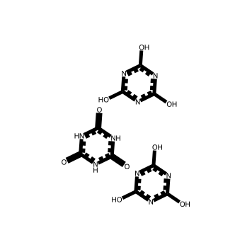 O=c1[nH]c(=O)[nH]c(=O)[nH]1.Oc1nc(O)nc(O)n1.Oc1nc(O)nc(O)n1